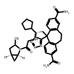 N#CC1C[C@@H]2C[C@@H]2N1C(=O)CN[C@@H](CC1(c2nnn[nH]2)c2ccc(C(N)=O)cc2CCc2cc(C(N)=O)ccc21)C1CCCC1